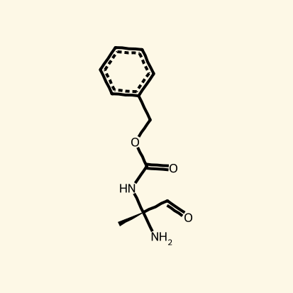 C[C@](N)(C=O)NC(=O)OCc1ccccc1